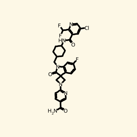 NC(=O)c1ccc(N2CC3(C2)C(=O)N(CC2CCC(NC(=O)c4cc(Cl)cnc4C(F)F)CC2)c2cc(F)ccc23)nc1